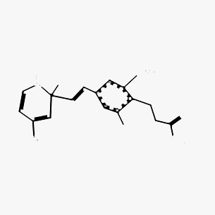 C=C(C)CCc1c(O)cc(/C=C/C2(O)C=C(O)C=CN2)cc1OC